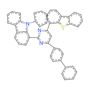 c1ccc(-c2ccc(-c3cc(-c4cccc5c4sc4ccccc45)nc(-c4cccc5c6ccccc6n(-c6ccccc6)c45)n3)cc2)cc1